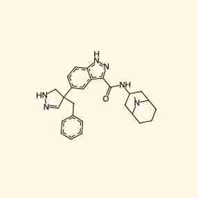 CN1C2CCCC1CC(NC(=O)c1n[nH]c3ccc(C4(Cc5ccccc5)C=NNC4)cc13)C2